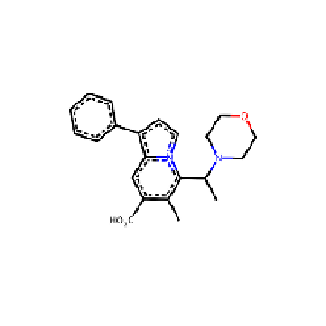 Cc1c(C(=O)O)cc2c(-c3ccccc3)ccn2c1C(C)N1CCOCC1